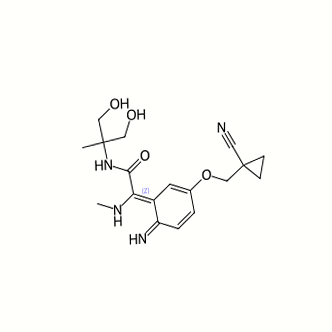 CN/C(C(=O)NC(C)(CO)CO)=C1/C=C(OCC2(C#N)CC2)C=CC1=N